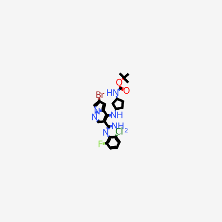 CC(C)(C)OC(=O)N[C@H]1CC[C@@H](Nc2c(/C(N)=N/c3c(F)cccc3Cl)cnn3cc(Br)cc23)C1